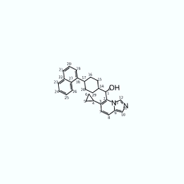 OC(c1c(C2CC2)ccc2cncn12)C1CCC(c2cccc3ccccc23)CC1